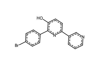 Oc1ccc(-c2cccnc2)nc1-c1ccc(Br)cc1